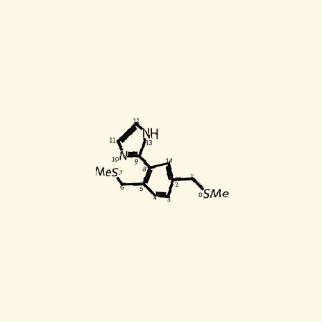 CSCc1ccc(CSC)c(-c2ncc[nH]2)c1